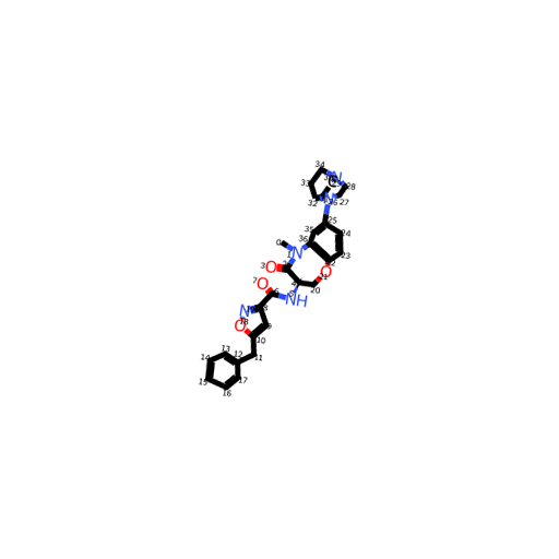 CN1C(=O)[C@H](NC(=O)c2cc(Cc3ccccc3)on2)COc2ccc(N3CCN4CCC3CC4)cc21